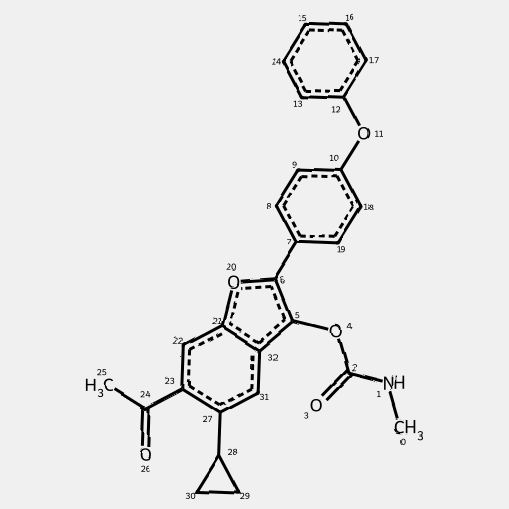 CNC(=O)Oc1c(-c2ccc(Oc3ccccc3)cc2)oc2cc(C(C)=O)c(C3CC3)cc12